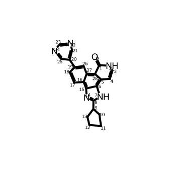 O=c1[nH]ccc2c3[nH]c(C4CCCC4)nc3c3ccc(-c4cncnc4)cc3c12